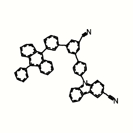 N#Cc1cc(-c2ccc(-n3c4ccccc4c4cc(C#N)ccc43)cc2)cc(-c2cccc(-c3c4ccccc4c(-c4ccccc4)c4ccccc34)c2)c1